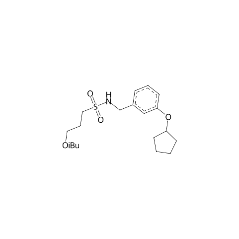 CC(C)COCCCS(=O)(=O)NCc1cccc(OC2CCCC2)c1